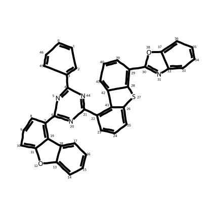 c1ccc(-c2nc(-c3cccc4oc5ccccc5c34)nc(-c3cccc4sc5c(-c6nc7ccccc7o6)cccc5c34)n2)cc1